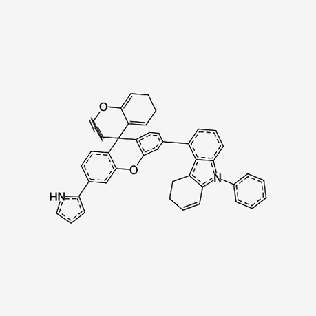 C1=CC2OC3=CCCC=C3C3(c4ccc(-c5ccc[nH]5)cc4Oc4cc(-c5cccc6c5c5c(n6-c6ccccc6)C=CCC5)ccc43)C2C=C1